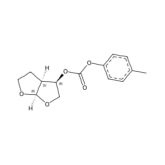 Cc1ccc(OC(=O)O[C@H]2CO[C@H]3OCC[C@H]32)cc1